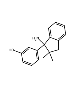 CC1(C)Cc2ccccc2C1(N)c1cccc(O)c1